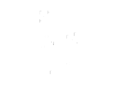 COc1cc(F)c(C(C)C)cc1-c1ccc(C(F)(F)F)cc1CN1C(=O)O[C@H](c2cc(C)cc(C(F)(F)F)c2)[C@@H]1C